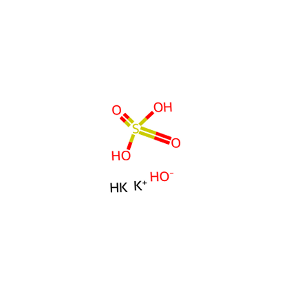 O=S(=O)(O)O.[K+].[KH].[OH-]